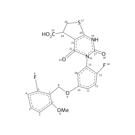 COc1cccc(F)c1COc1ccc(F)c(-n2c(=O)[nH]c3c(c2=O)C(C(=O)O)CS3)c1